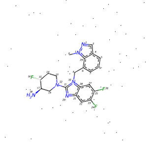 Cn1ncc2cccc(Cn3c(N4CC[C@@H](F)[C@H](N)C4)nc4cc(F)c(F)cc43)c21